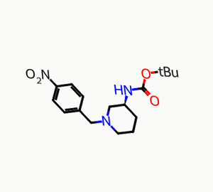 CC(C)(C)OC(=O)N[C@H]1CCCN(Cc2ccc([N+](=O)[O-])cc2)C1